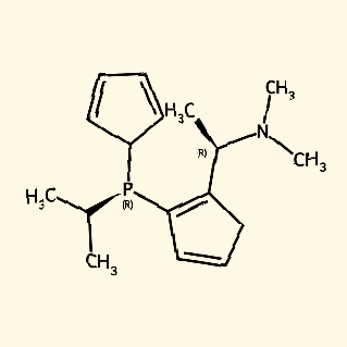 CC(C)[P@](C1=C([C@@H](C)N(C)C)CC=C1)C1C=CC=C1